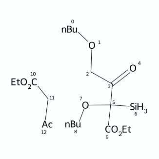 CCCCOCC(=O)C([SiH3])(OCCCC)C(=O)OCC.CCOC(=O)CC(C)=O